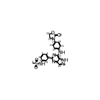 CS(=O)(=O)Nc1cccc(-c2nc(Nc3ccc(N4CCOC4=O)cc3)c3[nH]ncc3n2)c1